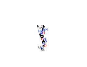 CCN(CC)CCC(=O)N1CCc2c(ncnc2Oc2ccc3c(ccn3C(=O)Nc3cc(C4(C)CC4)[nH]n3)c2)C1